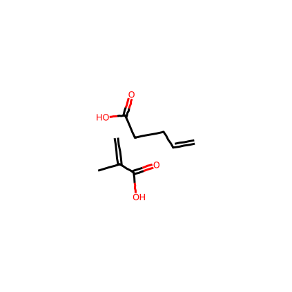 C=C(C)C(=O)O.C=CCCC(=O)O